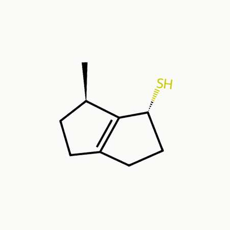 C[C@@H]1CCC2=C1[C@H](S)CC2